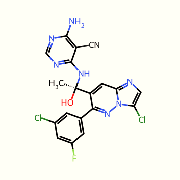 C[C@](O)(Nc1ncnc(N)c1C#N)c1cc2ncc(Cl)n2nc1-c1cc(F)cc(Cl)c1